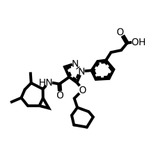 CC1CC(C)C(NC(=O)c2cnn(-c3cccc(CCC(=O)O)c3)c2OCC2CCCCC2)C2CC2C1